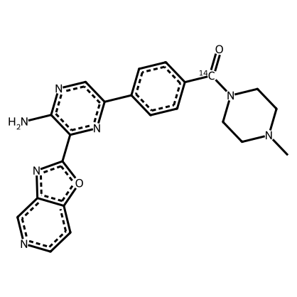 CN1CCN([14C](=O)c2ccc(-c3cnc(N)c(-c4nc5cnccc5o4)n3)cc2)CC1